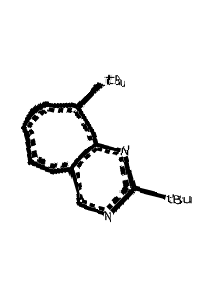 CC(C)(C)c1ncc2cccc(C(C)(C)C)c2n1